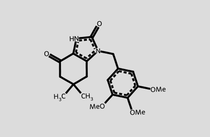 COc1cc(Cn2c3c([nH]c2=O)C(=O)CC(C)(C)C3)cc(OC)c1OC